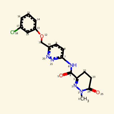 CN1N=C(C(=O)Nc2ccc(COc3cccc(Cl)c3)nn2)CCC1=O